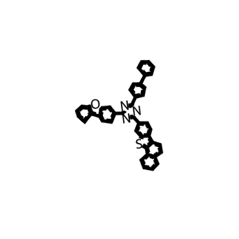 c1ccc(-c2ccc(-c3nc(-c4ccc5c(c4)oc4ccccc45)nc(-c4ccc5c(c4)sc4c6ccccc6ccc54)n3)cc2)cc1